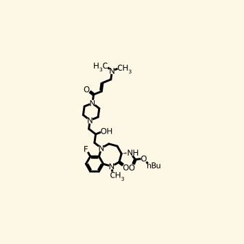 CCCCOC(=O)N[C@H]1CCN(CC(O)CN2CCN(C(=O)/C=C/CN(C)C)CC2)c2c(F)cccc2N(C)C1=O